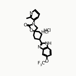 Cc1ncccc1N1CC2(CCC(c3nc4cc(OC(F)(F)F)ccc4[nH]3)CC2)OC1=O.Cl.Cl